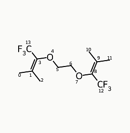 CC(C)=C(OCCOC(=C(C)C)C(F)(F)F)C(F)(F)F